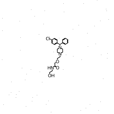 O=C(COCCN1CCN(C(c2ccccc2)c2ccc(Cl)cc2)CC1)NCCO